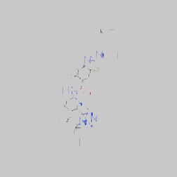 CCCCN(C)c1nc2cc(F)c(C(=O)Nc3cccc(-c4nnnn4C(C)C)n3)cc2s1